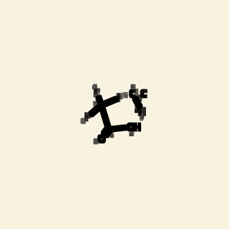 O=C(O)C(F)(F)F.[2H]C(Cl)(Cl)Cl